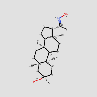 C/C(=N\O)[C@H]1CCC2[C@@H]3CC[C@@H]4C[C@](C)(O)CC[C@@H]4C3CC[C@@]21C